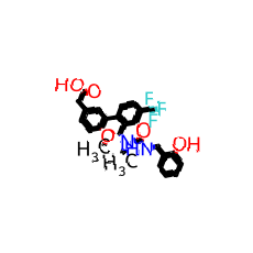 CCN(Cc1cc(C(F)(F)F)ccc1-c1cc(CC(=O)O)ccc1OC)C(=O)NCc1ccccc1O